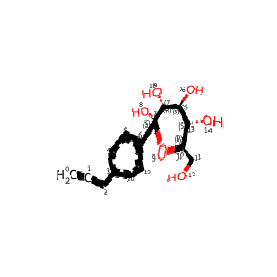 C=C=Cc1ccc([C@]2(O)O[C@H](CO)[C@@H](O)[C@H](O)[C@H]2O)cc1